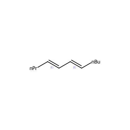 [CH2]CCC/C=C/C=C/CCC